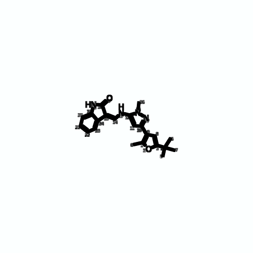 Cc1oc(C(C)(C)C)cc1-c1cc(NC=C2C(=O)Nc3ccccc32)n(C)n1